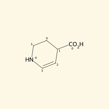 O=C(O)C1C=CNCC1